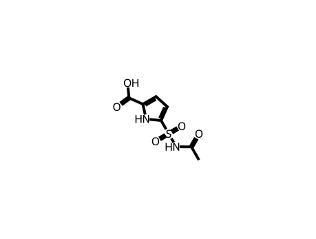 CC(=O)NS(=O)(=O)c1ccc(C(=O)O)[nH]1